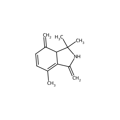 C=C1NC(C)(C)C2C(=C)C=CC(C)=C12